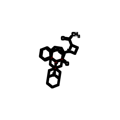 CC(=O)C1CCN1c1nc2ccccc2n(C2CC3CCCC(C2)N3C2CC3CCCCC(C3)C2)c1=O